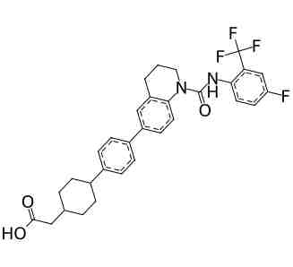 O=C(O)CC1CCC(c2ccc(-c3ccc4c(c3)CCCN4C(=O)Nc3ccc(F)cc3C(F)(F)F)cc2)CC1